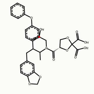 CC(C(Cc1ccc2c(c1)OCO2)c1ccc(Oc2ccccc2)cc1)N(CC(=O)O)C(=O)[C@@H]1COC(C(=O)O)(C(=O)O)O1